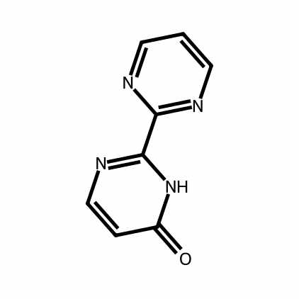 O=c1ccnc(-c2ncccn2)[nH]1